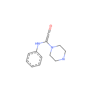 O=C=C(Nc1ccccc1)N1CC[N]CC1